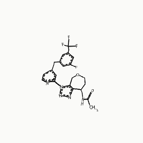 CC(=O)NC1CCOCc2c1nnn2-c1cc(Cc2cc(F)cc(C(F)(F)F)c2)ccn1